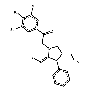 COC[C@H]1CN(CC(=O)c2cc(C(C)(C)C)c(O)c(C(C)(C)C)c2)/C(=N\Br)[C@@H]1c1ccccc1